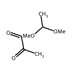 CC(=O)C=O.COC(C)OC